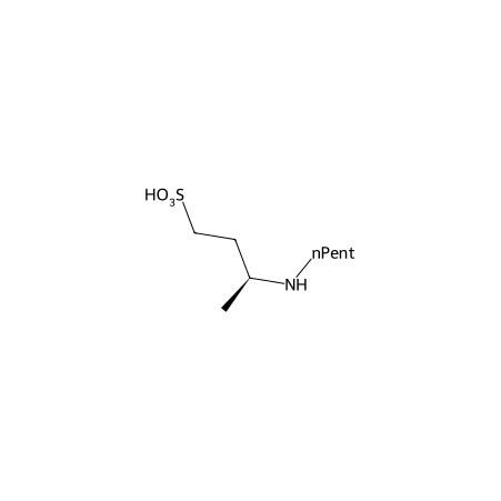 CCCCCN[C@@H](C)CCS(=O)(=O)O